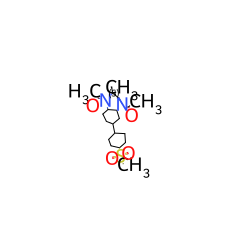 CC(=O)N1C[C@H](C)N(C(C)=O)C2CCC(C3CCC(S(C)(=O)=O)CC3)CC21